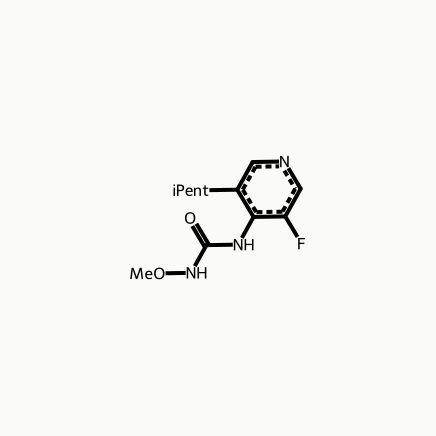 CCCC(C)c1cncc(F)c1NC(=O)NOC